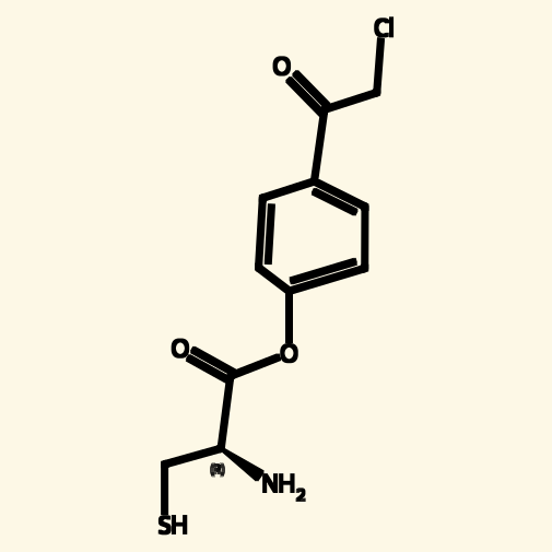 N[C@@H](CS)C(=O)Oc1ccc(C(=O)CCl)cc1